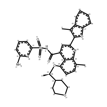 Cc1c(-c2cc(C(=O)NS(=O)(=O)c3cccc(N)n3)c3c(O[C@H](C)C4CCOCC4)ccc(C)c3n2)oc2ccccc12